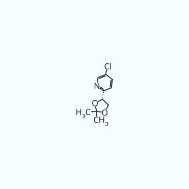 CC1(C)OC[C@@H](c2ccc(Cl)cn2)O1